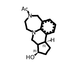 CC(=O)N1CCN2CC3[C@H](O)CC[C@@H]3c3cccc(c32)C1